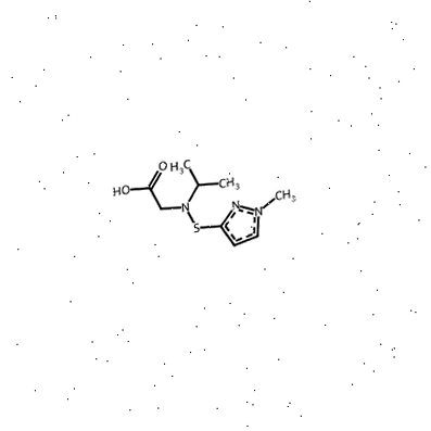 CC(C)N(CC(=O)O)Sc1ccn(C)n1